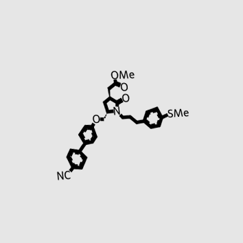 COC(=O)C[C@@H]1C[C@@H](COc2ccc(-c3ccc(C#N)cc3)cc2)N(CCCc2ccc(SC)cc2)C1=O